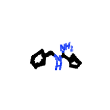 NC(NCc1ccccc1)C1=C=CC=C1